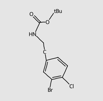 CC(C)(C)OC(=O)NCCc1ccc(Cl)c(Br)c1